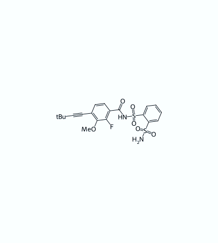 COc1c(C#CC(C)(C)C)ccc(C(=O)NS(=O)(=O)c2ccccc2S(N)(=O)=O)c1F